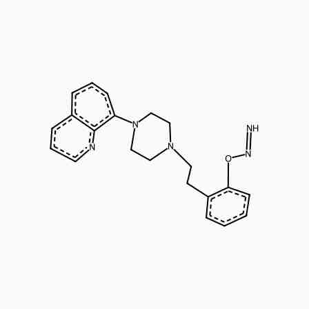 N=NOc1ccccc1CCN1CCN(c2cccc3cccnc23)CC1